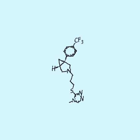 Cn1cnnc1SCCCN1C[C@@H]2C[C@]2(c2ccc(C(F)(F)F)cc2)C1